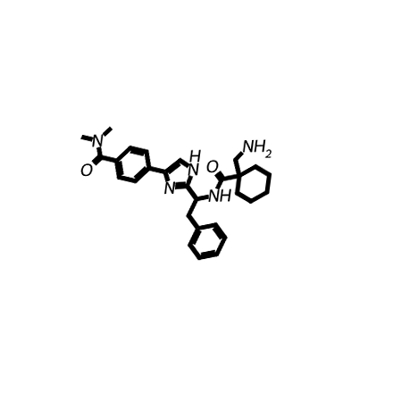 CN(C)C(=O)c1ccc(-c2c[nH]c(C(Cc3ccccc3)NC(=O)C3(CN)CCCCC3)n2)cc1